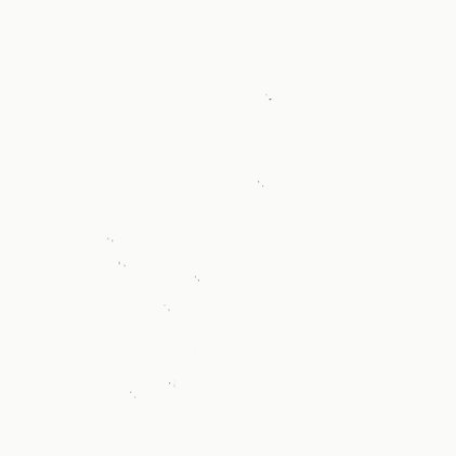 Cc1cn(-c2cccc3[nH]c(-c4n[nH]c5ccc(-c6cncc(CNCc7ccccc7)c6)cc45)nc23)cn1